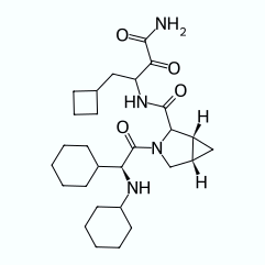 NC(=O)C(=O)C(CC1CCC1)NC(=O)C1[C@@H]2C[C@@H]2CN1C(=O)[C@@H](NC1CCCCC1)C1CCCCC1